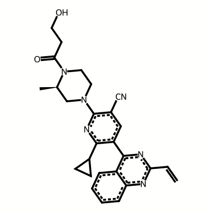 C=Cc1nc(-c2cc(C#N)c(N3CCN(C(=O)CCO)[C@H](C)C3)nc2C2CC2)c2ccccc2n1